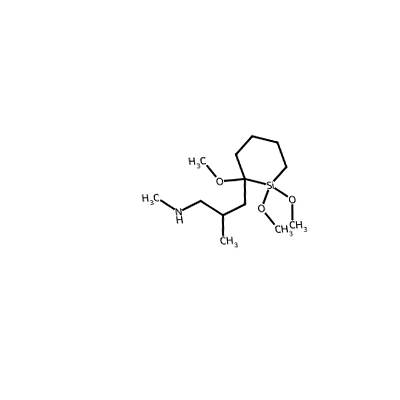 CNCC(C)CC1(OC)CCCC[Si]1(OC)OC